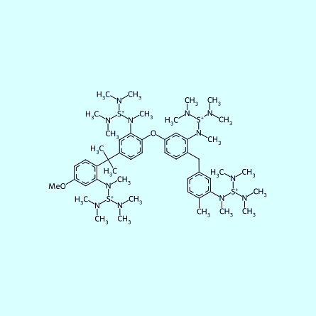 COc1ccc(C(C)(C)c2ccc(Oc3ccc(Cc4ccc(C)c(N(C)[S+](N(C)C)N(C)C)c4)c(N(C)[S+](N(C)C)N(C)C)c3)c(N(C)[S+](N(C)C)N(C)C)c2)c(N(C)[S+](N(C)C)N(C)C)c1